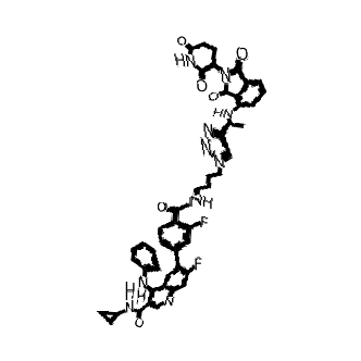 CC(Nc1cccc2c1C(=O)N(C1CCC(=O)NC1=O)C2=O)c1cn(CCCCNC(=O)c2ccc(-c3cc4c(Nc5ccccc5)c(C(=O)NC5CC5)cnc4cc3F)cc2F)nn1